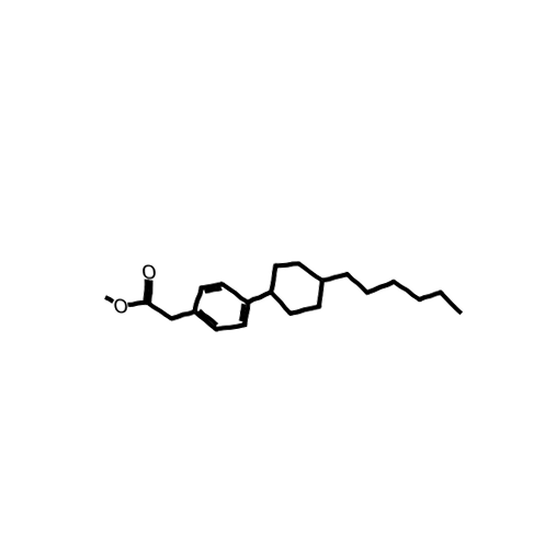 CCCCCCC1CCC(c2ccc(CC(=O)OC)cc2)CC1